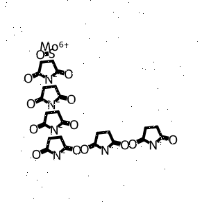 O=C1CCC(=O)[N-]1.O=C1CCC(=O)[N-]1.O=C1CCC(=O)[N-]1.O=C1CCC(=O)[N-]1.O=C1CCC(=O)[N-]1.O=C1CCC(=O)[N-]1.O=S.[Mo+6]